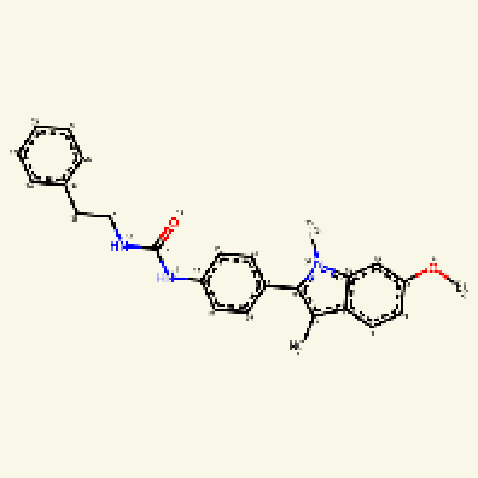 CCOc1ccc2c(C#N)c(-c3ccc(NC(=O)NCCc4ccccc4)cc3)n(C(C)C)c2c1